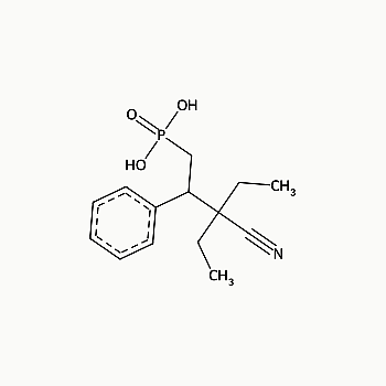 CCC(C#N)(CC)C(CP(=O)(O)O)c1ccccc1